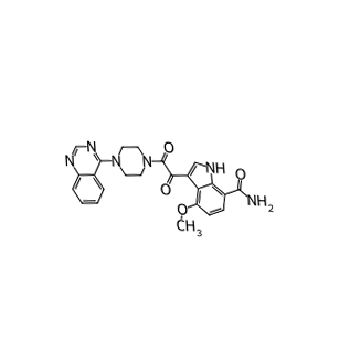 COc1ccc(C(N)=O)c2[nH]cc(C(=O)C(=O)N3CCN(c4ncnc5ccccc45)CC3)c12